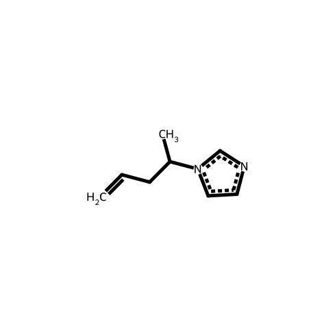 C=CCC(C)n1ccnc1